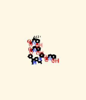 CC1=Cc2c(ccc3c(-c4ccccc4)cc(C)nc23)N(c2ccccc2)C1.O=C([O-])c1ccc2cccc(O)c2n1.O=C([O-])c1ccc2cccc(O)c2n1.O=C([O-])c1ccc2cccc(O)c2n1.[Al+3]